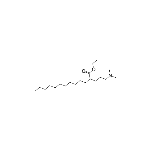 CCCCCCCCCCCC(CCCN(C)C)C(=O)OCC